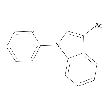 CC(=O)c1cn(-c2[c]cccc2)c2ccccc12